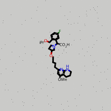 COc1cc(CCCCOC2CCN(C(C(=O)O)c3cc(F)ccc3COC(C)C)C2)nc2c1CCCN2